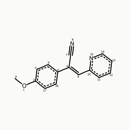 COc1ccc(C(C#N)=Cc2ccccn2)cc1